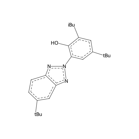 CCC(C)c1cc(C(C)(C)C)cc(-n2nc3ccc(C(C)(C)C)cc3n2)c1O